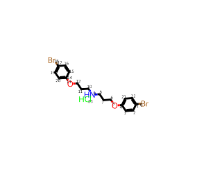 Brc1ccc(OCCCNCCCOc2ccc(Br)cc2)cc1.Cl